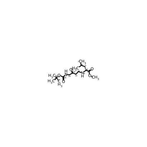 COC(=O)[C@H](CC(C)C)NCCC(=O)CNC(=O)OC(C)(C)C